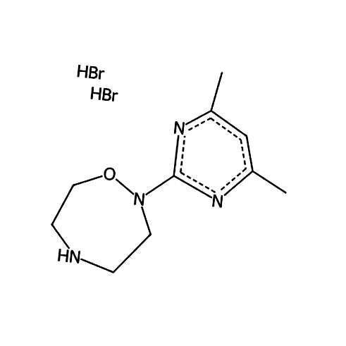 Br.Br.Cc1cc(C)nc(N2CCNCCO2)n1